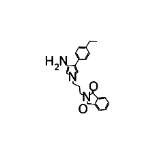 CCc1ccc(-c2cn(CCCN3C(=O)c4ccccc4C3=O)cc2N)cc1